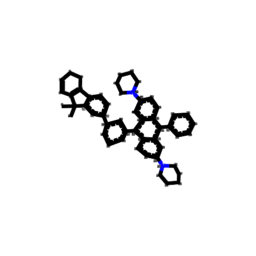 CC1(C)C2=C(CCC=C2)c2ccc(-c3cccc(-c4c5ccc(N6CCCCC6)cc5c(-c5ccccc5)c5ccc(N6CCCCC6)cc45)c3)cc21